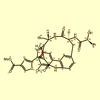 COC(=O)c1coc(-c2nc3oc2C(=O)Nc2ccc(cc2-c2cc(C)cc(C)c2)C[C@H](NC(=O)[C@@H](O)C(C)C)C(=O)N[C@H]3C(C)(C)C)n1